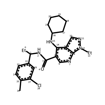 CCC(NC(=O)c1cnc2c(cnn2CC)c1NC1CCCCC1)c1ccc(C)c(Cl)c1